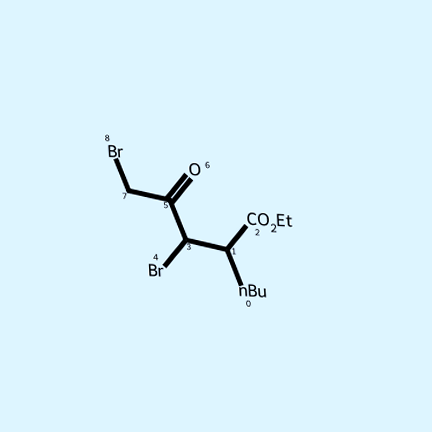 CCCCC(C(=O)OCC)C(Br)C(=O)CBr